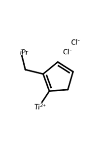 CC(C)CC1=[C]([Ti+2])CC=C1.[Cl-].[Cl-]